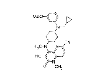 COc1cccc(N(CC2CC2)C2CCC(N(C)c3c(C#N)c(=O)n(C)c4ccc(C#N)nc34)CC2)c1